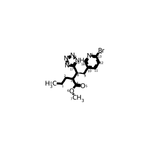 CCCC(C(=O)OC)[C@H](Cc1ccc(Br)nc1)c1nnn[nH]1